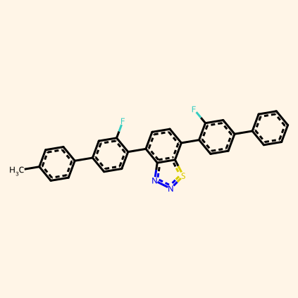 Cc1ccc(-c2ccc(-c3ccc(-c4ccc(-c5ccccc5)cc4F)c4snnc34)c(F)c2)cc1